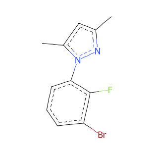 Cc1cc(C)n(-c2cccc(Br)c2F)n1